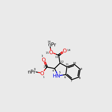 CCCOC(=O)C1Nc2ccccc2C1C(=O)OCCC